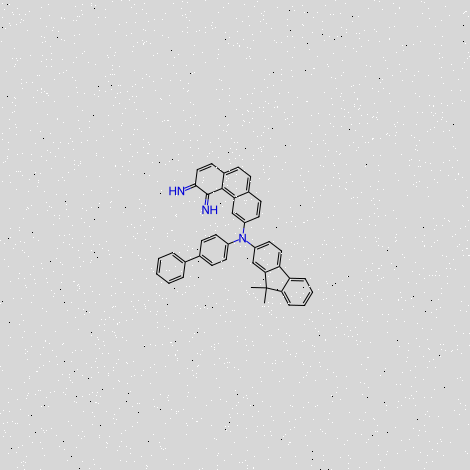 CC1(C)c2ccccc2-c2ccc(N(c3ccc(-c4ccccc4)cc3)c3ccc4ccc5c(c4c3)C(=N)C(=N)C=C5)cc21